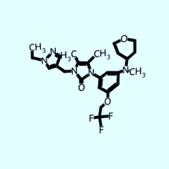 CCn1cc(Cn2c(C)c(C)n(-c3cc(OCC(F)(F)F)cc(N(C)C4CCOCC4)c3)c2=O)cn1